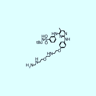 Cc1cnc(Nc2ccc(OCCNCCOCCNCN)cc2)nc1Nc1cccc(S(=O)(=O)NC(C)(C)C)c1